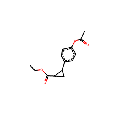 CCOC(=O)C1CC1c1ccc(OC(C)=O)cc1